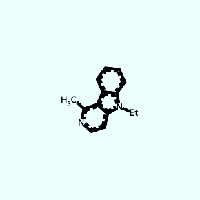 CCn1c2ccccc2c2c(C)nccc21